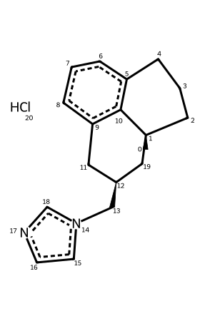 C[C@]12CCCc3cccc(c31)C[C@H](Cn1ccnc1)C2.Cl